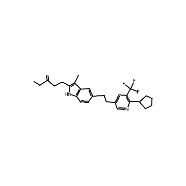 C=C(CC)CCc1[nH]c2ccc(CCc3cnc(C4CCCC4)c(C(F)(F)F)c3)cc2c1C